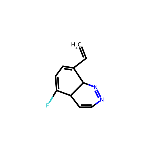 C=CC1=CC=C(F)C2C=CN=NC12